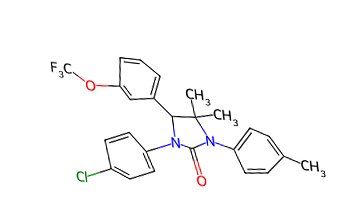 Cc1ccc(N2C(=O)N(c3ccc(Cl)cc3)C(c3cccc(OC(F)(F)F)c3)C2(C)C)cc1